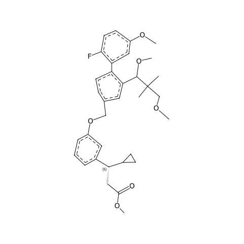 COCC(C)(C)C(OC)c1cc(COc2cccc([C@@H](CC(=O)OC)C3CC3)c2)ccc1-c1cc(OC)ccc1F